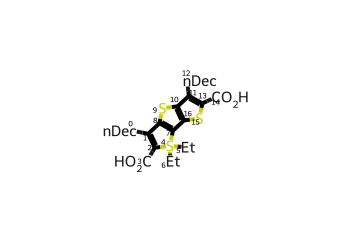 CCCCCCCCCCC1=C(C(=O)O)S(CC)(CC)c2c1sc1c(CCCCCCCCCC)c(C(=O)O)sc21